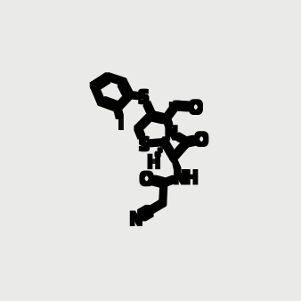 N#CCC(=O)N[C@@H]1C(=O)N2C([C]=O)=C(Sc3ccccc3I)CS[C@H]12